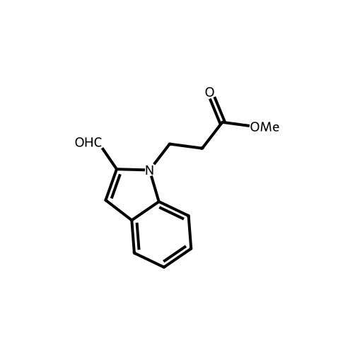 COC(=O)CCn1c(C=O)cc2ccccc21